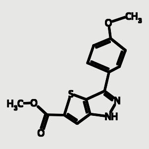 COC(=O)c1cc2[nH]nc(-c3ccc(OC)cc3)c2s1